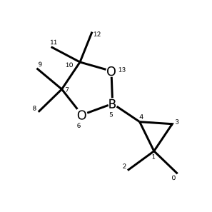 CC1(C)CC1B1OC(C)(C)C(C)(C)O1